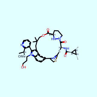 CO[C@@H](C)c1ncccc1-c1c2c3cc(ccc3n1CCCO)C1CSC(=N1)C[C@H](NC(=O)[C@H]1[C@H](C)[C@@H]1C)C(=O)N1CCC[C@H](N1)C(=O)OCC(C)(C)C2